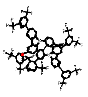 N#Cc1ccc(-n2c3ccc(-c4cc(C(F)(F)F)cc(C(F)(F)F)c4)cc3c3cc(-c4cc(C(F)(F)F)cc(C(F)(F)F)c4)ccc32)c(-c2ccc(-c3c(C(F)(F)F)cccc3C(F)(F)F)cc2-n2c3ccc(-c4cc(C(F)(F)F)cc(C(F)(F)F)c4)cc3c3cc(-c4cc(C(F)(F)F)cc(C(F)(F)F)c4)ccc32)c1